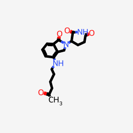 CC(=O)CCCCNc1cccc2c1CN(C1CCC(=O)NC1=O)C2=O